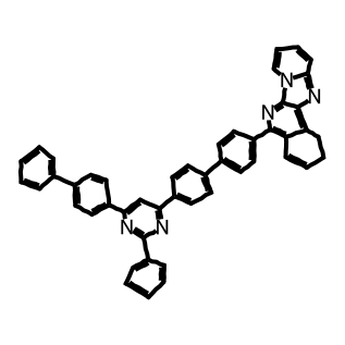 C1=Cc2c(-c3ccc(-c4ccc(-c5cc(-c6ccc(-c7ccccc7)cc6)nc(-c6ccccc6)n5)cc4)cc3)nc3c(nc4ccccn43)c2CC1